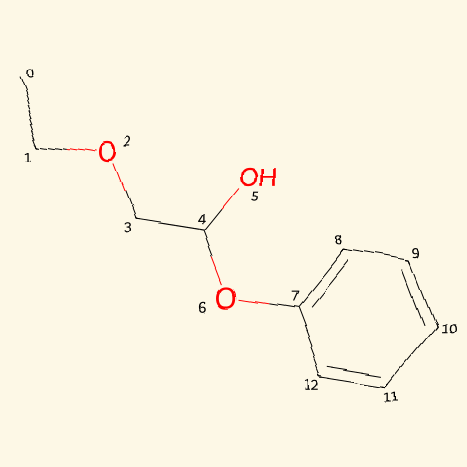 CCOCC(O)Oc1ccccc1